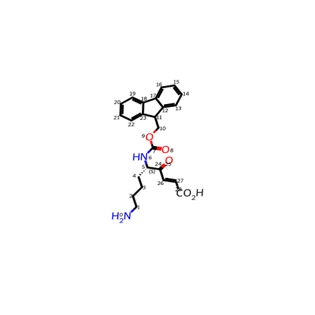 NCCCC[C@H](NC(=O)OCC1c2ccccc2-c2ccccc21)C(=O)C=CC(=O)O